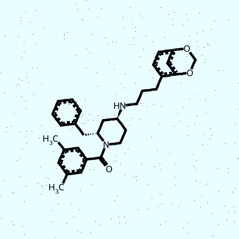 Cc1cc(C)cc(C(=O)N2CC[C@H](NCCCc3ccc4cc3OCO4)C[C@H]2Cc2ccccc2)c1